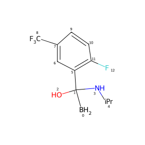 BC(O)(NC(C)C)c1cc(C(F)(F)F)ccc1F